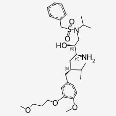 COCCCOc1cc(C[C@@H](C[C@H](N)[C@@H](O)CN(C(C)C)S(=O)(=O)Cc2ccccc2)C(C)C)ccc1OC